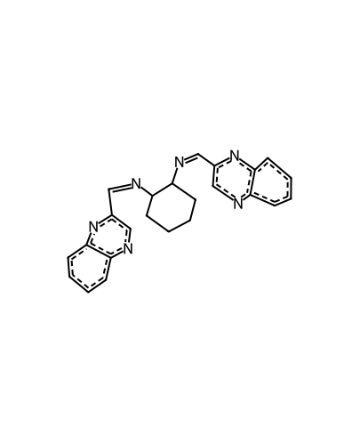 C(=N/C1CCCCC1/N=C\c1cnc2ccccc2n1)/c1cnc2ccccc2n1